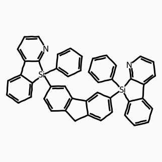 c1ccc([Si]2(c3ccc4c(c3)-c3cc([Si]5(c6ccccc6)c6ccccc6-c6cccnc65)ccc3C4)c3ccccc3-c3cccnc32)cc1